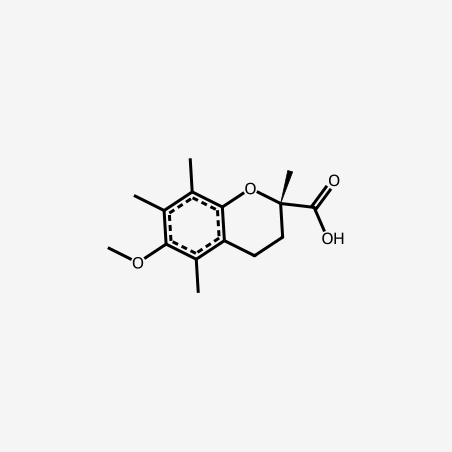 COc1c(C)c(C)c2c(c1C)CC[C@@](C)(C(=O)O)O2